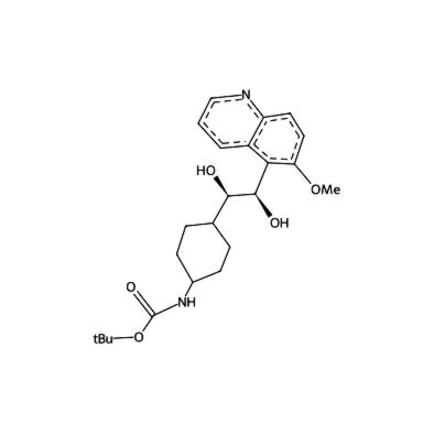 COc1ccc2ncccc2c1[C@@H](O)[C@H](O)C1CCC(NC(=O)OC(C)(C)C)CC1